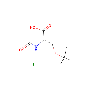 CC(C)(C)OC[C@H](NC=O)C(=O)O.F